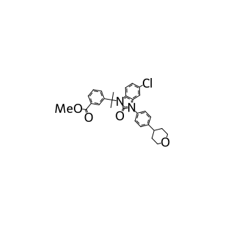 COC(=O)c1cccc(C(C)(C)n2c(=O)n(-c3ccc(C4CCOCC4)cc3)c3cc(Cl)ccc32)c1